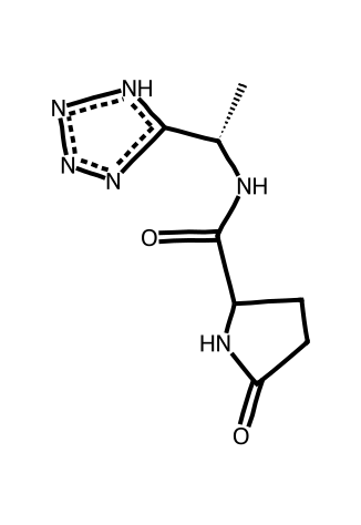 C[C@H](NC(=O)C1CCC(=O)N1)c1nnn[nH]1